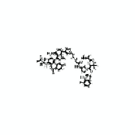 CNC(C)C(=O)NC(C(=O)N1CC(NC(=O)COCCn2cc(-c3cnc(N)c4c(-c5ccc(NS(=O)(=O)C(F)F)c(OC(C)c6ccc(F)cc6)c5)nn(C)c34)cn2)C[C@H]1C(=O)Nc1c(F)cccc1F)C(C)(C)C